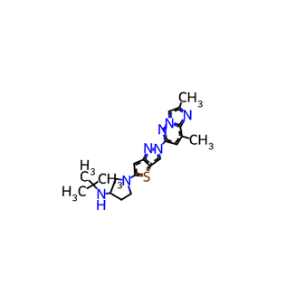 Cc1cn2nc(-n3cc4sc(N5CCC(NC(C)(C)C)C5)cc4n3)cc(C)c2n1